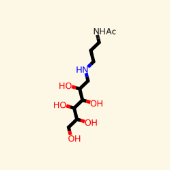 CC(=O)NCCCNCC(O)C(O)C(O)C(O)CO